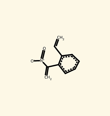 C=Cc1ccccc1C(=C)[N+](=O)[O-]